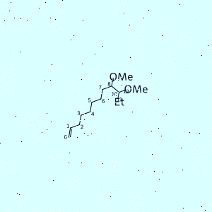 C=CCCCCCCC(OC)C(CC)OC